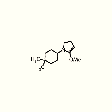 COC1=CCCN1C1CCC(C)(C)CC1